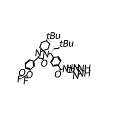 CC(C)(C)CC[C@H](c1ccc(C(=O)NCC2=NNNN2)cc1)N1C(=O)C(c2ccc3c(c2)OC(F)(F)O3)=NC12CCC(C(C)(C)C)CC2